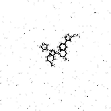 CC[C@@H]1Cc2cc(-c3cnn(C)c3)ccc2N(c2nn([C@H]3CCOC3)c3c2CN(C(C)=O)CC3)C1